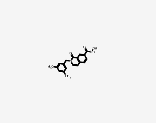 Cc1cc(C)cc(Cn2ccc3ccc(C(=O)NO)cc3c2=O)c1